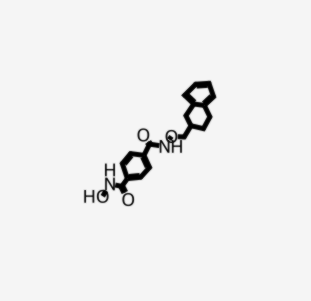 O=C(NO)c1ccc(C(=O)NOCC2CCc3ccccc3C2)cc1